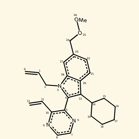 C=CCn1c(-c2nccnc2C=C)c(C2CCCCC2)c2ccc(COOC)cc21